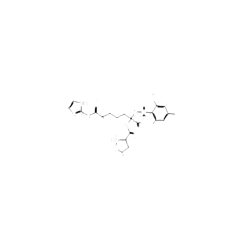 Cc1cc(C)c(S(=O)(=O)NC(CCCCC(=O)Nc2ncc[nH]2)(NC(=O)C2CCON2)C(=O)O)c(C)c1